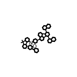 CC1(C)c2ccccc2-c2c(N(c3ccc(-c4ccc5c6c(cccc46)-c4c(-c6cccc7ccccc67)ccc(-c6cccc7ccccc67)c4-5)cc3)c3cccc4c3oc3ccccc34)cccc21